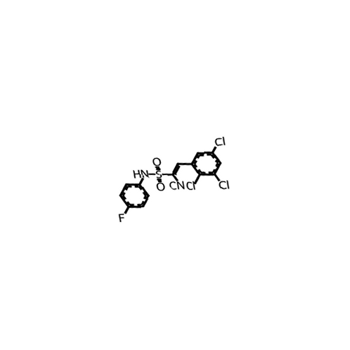 N#CC(=Cc1cc(Cl)cc(Cl)c1Cl)S(=O)(=O)Nc1ccc(F)cc1